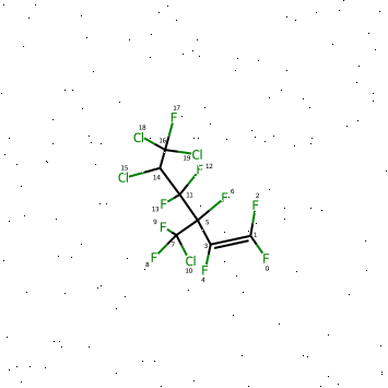 FC(F)=C(F)C(F)(C(F)(F)Cl)C(F)(F)C(Cl)C(F)(Cl)Cl